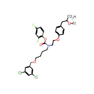 CCOC(Cc1ccc(OCCN(CCCCOCc2cc(Cl)cc(Cl)c2)C(=O)Oc2ccc(F)cc2F)cc1)C(=O)O